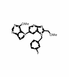 COCc1nc2ncc(-n3ccc4ncnc(OC)c43)cc2n1Cc1cccc(F)c1